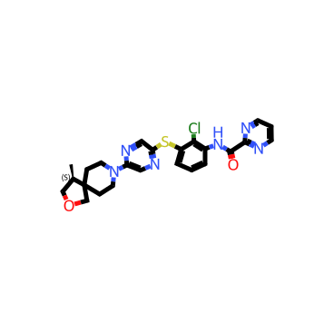 C[C@@H]1COCC12CCN(c1cnc(Sc3cccc(NC(=O)c4ncccn4)c3Cl)cn1)CC2